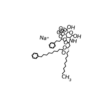 CCCCCCCCCCC[C@@H](CC(=O)N[C@H]1C(O)O[C@H](CO)[C@@H](OS(=O)(=O)[O-])[C@@H]1OC(=O)CCc1ccccc1)OC(=O)CCCCCCCCc1ccccc1.[Na+]